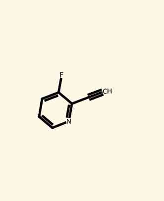 C#Cc1ncccc1F